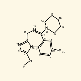 CCc1nnc2n1-c1ccc(F)cc1C(N1CCCCC1)=NC2